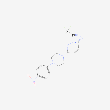 O=[N+]([O-])c1ccc(N2CCN(c3ccc4nnc(C(F)(F)F)n4n3)CC2)cc1